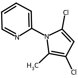 Cc1c(Cl)cc(Cl)n1-c1ccccn1